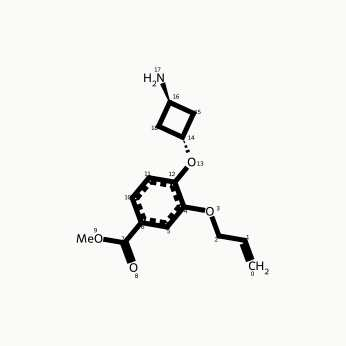 C=CCOc1cc(C(=O)OC)ccc1O[C@H]1C[C@H](N)C1